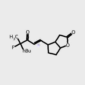 CCCCC(C)(F)C(=O)/C=C/C1CCC2OC(=O)CC12